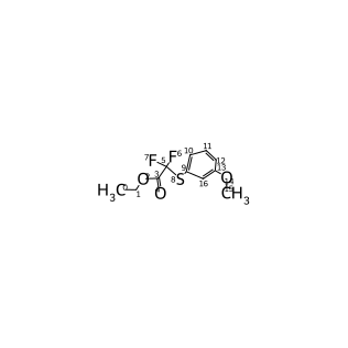 CCOC(=O)C(F)(F)Sc1cccc(OC)c1